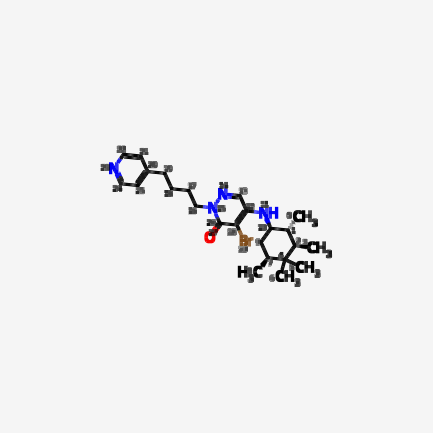 C[C@@H]1[C@@H](C)C(C)(C)[C@@H](C)C[C@H]1Nc1cnn(CCCCc2ccncc2)c(=O)c1Br